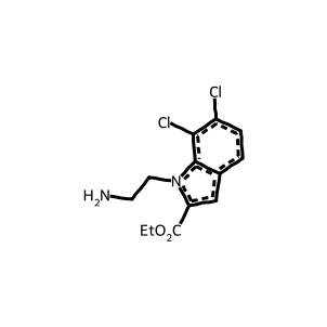 CCOC(=O)c1cc2ccc(Cl)c(Cl)c2n1CCN